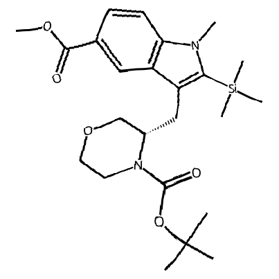 COC(=O)c1ccc2c(c1)c(C[C@H]1COCCN1C(=O)OC(C)(C)C)c([Si](C)(C)C)n2C